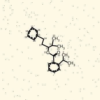 CC(C)c1ccccc1C(=O)OC(CCc1ccccc1)C(C)C